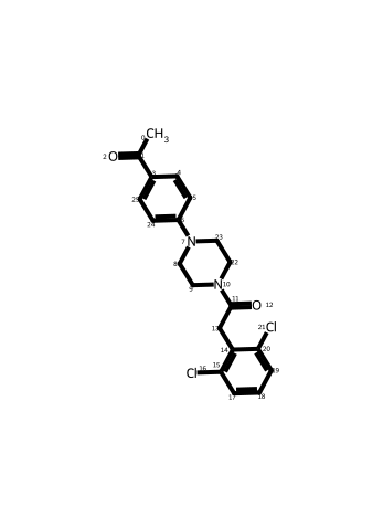 CC(=O)c1ccc(N2CCN(C(=O)Cc3c(Cl)cccc3Cl)CC2)cc1